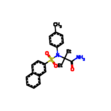 CCC(CC)(C(N)=O)N(c1ccc(C)cc1)S(=O)(=O)c1ccc2ccccc2c1